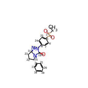 CCS(=O)(=O)c1ccc(-n2nc3n(c2=O)[C@H](c2ccccc2)CC3)cc1